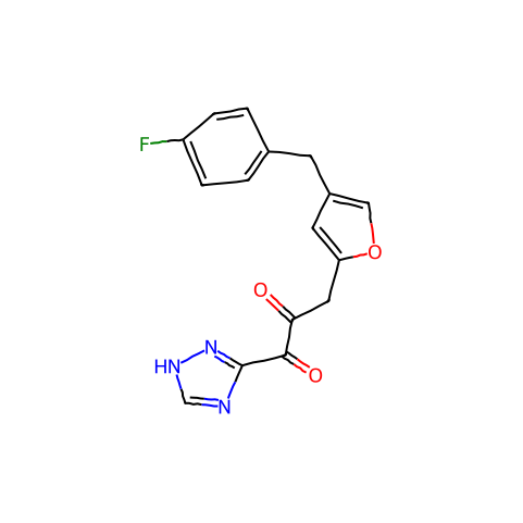 O=C(Cc1cc(Cc2ccc(F)cc2)co1)C(=O)c1nc[nH]n1